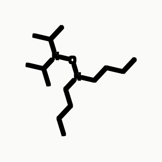 CCCCN(CCCC)ON(C(C)C)C(C)C